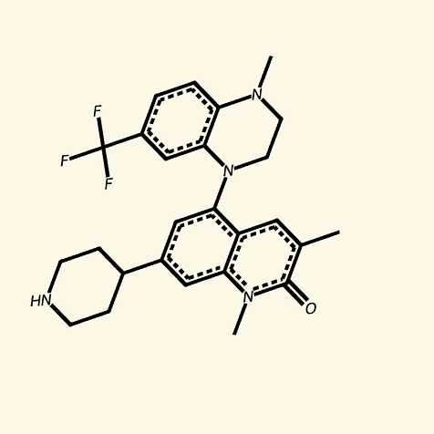 Cc1cc2c(N3CCN(C)c4ccc(C(F)(F)F)cc43)cc(C3CCNCC3)cc2n(C)c1=O